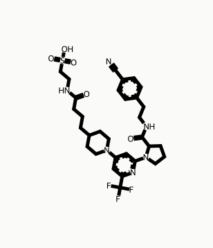 N#Cc1ccc(CCNC(=O)C2CCCN2c2cc(N3CCC(CCCC(=O)NCCS(=O)(=O)O)CC3)cc(C(F)(F)F)n2)cc1